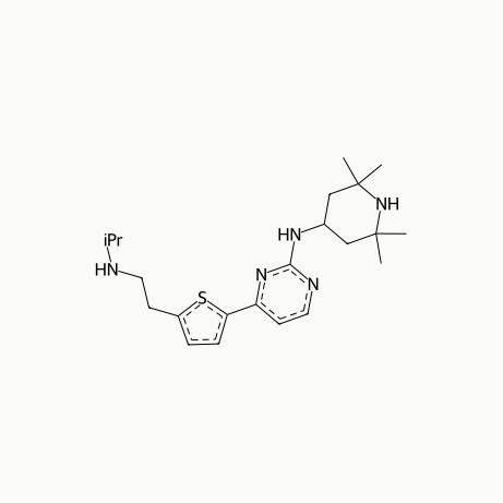 CC(C)NCCc1ccc(-c2ccnc(NC3CC(C)(C)NC(C)(C)C3)n2)s1